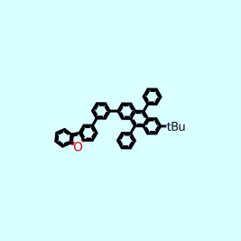 CC(C)(C)c1ccc2c(-c3ccccc3)c3cc(-c4cccc(-c5ccc6oc7ccccc7c6c5)c4)ccc3c(-c3ccccc3)c2c1